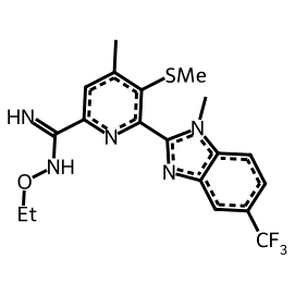 CCONC(=N)c1cc(C)c(SC)c(-c2nc3cc(C(F)(F)F)ccc3n2C)n1